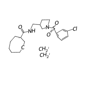 O=C(NCC1CCN(S(=O)(=O)c2cccc(Cl)c2)C1)[C]1CCCCCCC1.[CH2].[CH2]